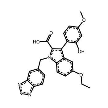 CCOc1ccc2c(c1)c(-c1ccc(OC)cc1O)c(C(=O)O)n2Cc1ccc2nsnc2c1